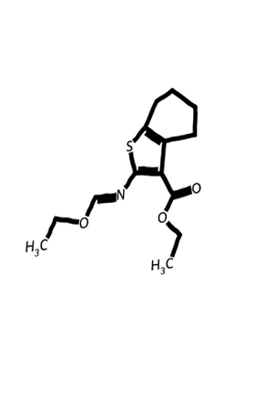 CCOC=Nc1sc2c(c1C(=O)OCC)CCCC2